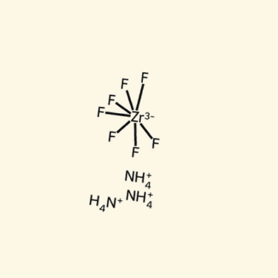 [F][Zr-3]([F])([F])([F])([F])([F])[F].[NH4+].[NH4+].[NH4+]